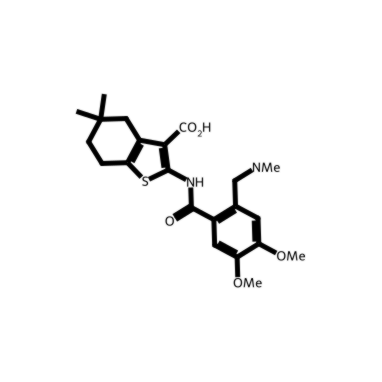 CNCc1cc(OC)c(OC)cc1C(=O)Nc1sc2c(c1C(=O)O)CC(C)(C)CC2